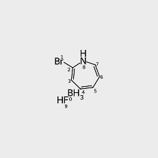 B.BrC1=CC=CC=CN1.F